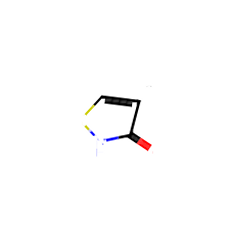 O=c1ccs[nH]1.[Fe]